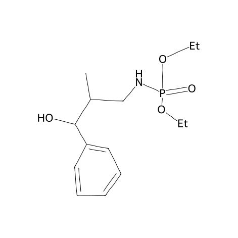 CCOP(=O)(NCC(C)C(O)c1ccccc1)OCC